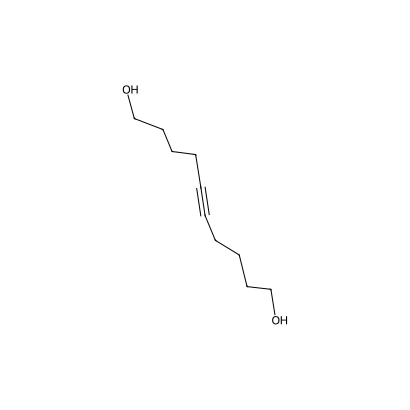 OCCCCC#CCCCCO